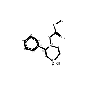 COC(=O)CN1CCNCC1c1ccccc1.Cl